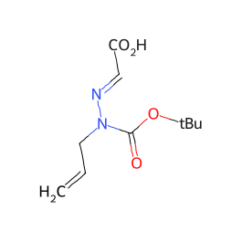 C=CCN(N=CC(=O)O)C(=O)OC(C)(C)C